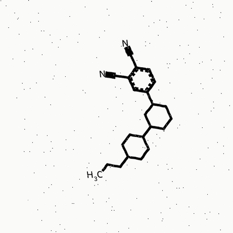 CCCC1CCC(C2[CH]CCC(c3ccc(C#N)c(C#N)c3)C2)CC1